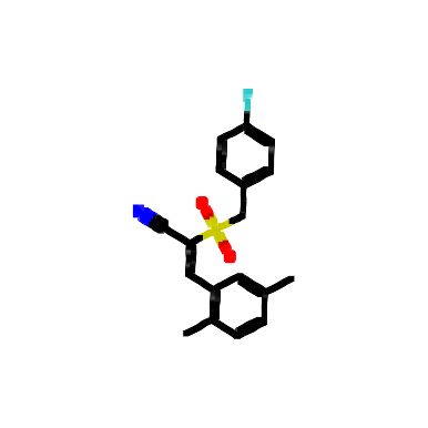 Cc1ccc(C)c(C=C(C#N)S(=O)(=O)Cc2ccc(F)cc2)c1